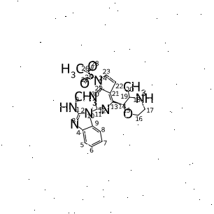 CNc1nc2ccccc2n1-c1nc([C@@H]2OCCNC2C)c2ccn(S(C)(=O)=O)c2n1